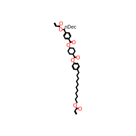 C=CC(=O)OCCCCCCCCCCCc1ccc(OC(=O)C2CCC(OC(=O)c3ccc(C(CCCCCCCCCC)OC(=O)C=C)cc3)CC2)cc1